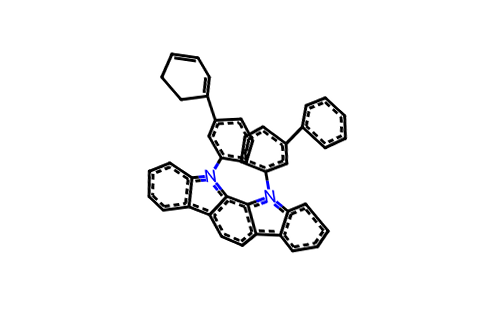 C1=CCCC(c2cccc(-n3c4ccccc4c4ccc5c6ccccc6n(-c6cccc(-c7ccccc7)c6)c5c43)c2)=C1